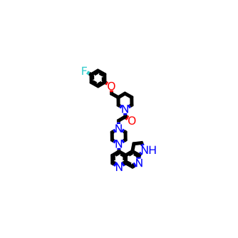 O=C(CN1CCN(c2ccnc3cnc4c(c23)CCN4)CC1)N1CCCC(COc2ccc(F)cc2)C1